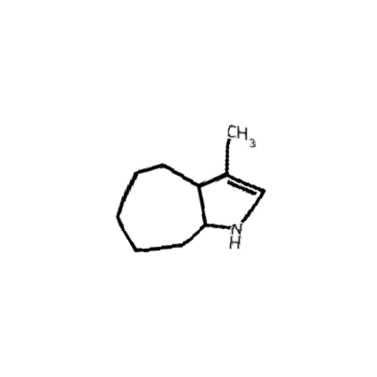 CC1=CNC2CCCCCC12